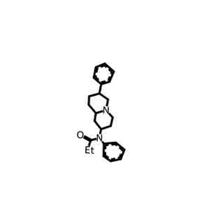 CCC(=O)N(c1ccccc1)C1CCN2CC(c3ccccc3)CCC2C1